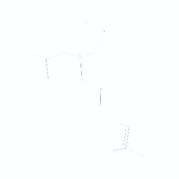 CC(C)[CH2][Al]([CH2]C(C)C)[CH2]C(C)C.[CH2]C=C(C)C